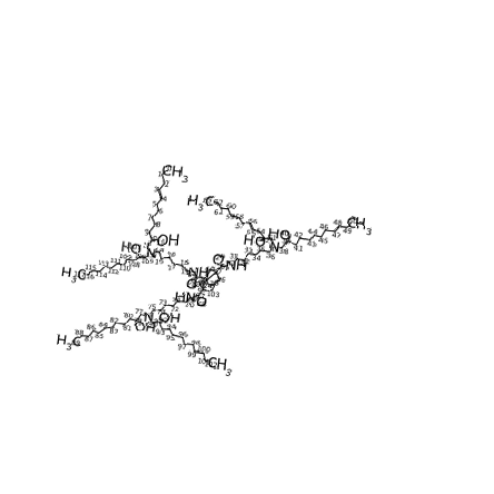 CCCCCCCCCCC(O)CN(CCCCCCNC(=O)C12CC3CC(C(=O)NCCCCCCN(CC(O)CCCCCCCCCC)CC(O)CCCCCCCCCC)(C1)CC(C(=O)NCCCCCCN(CC(O)CCCCCCCCCC)CC(O)CCCCCCCCCC)(C3)C2)CC(O)CCCCCCCCCC